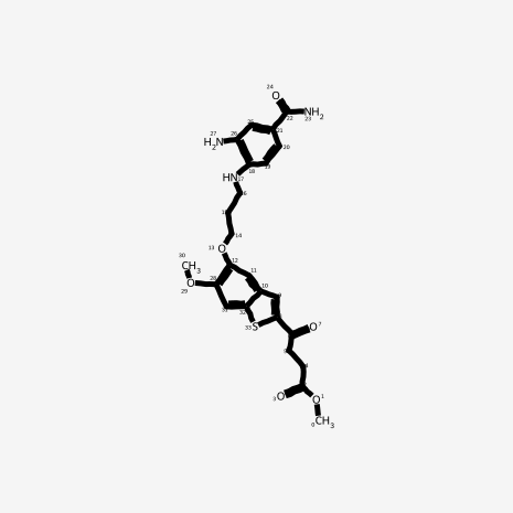 COC(=O)CCC(=O)c1cc2cc(OCCCNc3ccc(C(N)=O)cc3N)c(OC)cc2s1